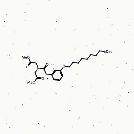 CCCCCCCCCCCCCCCCCCOc1cccc(CC(=O)N(CC(=O)OC)CC(=O)OC)c1